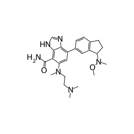 CON(C)C1CCc2ccc(-c3cc(N(C)CCN(C)C)c(C(N)=O)c4[nH]cnc34)cc21